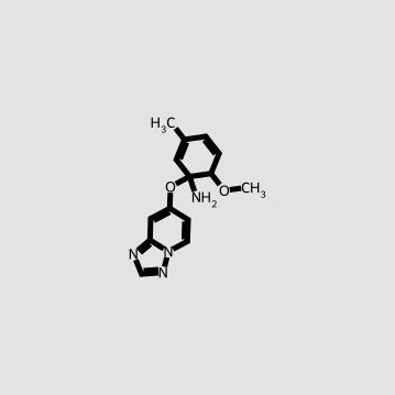 COC1C=CC(C)=CC1(N)Oc1ccn2ncnc2c1